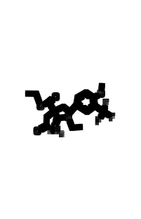 CCOC(=O)C(CCc1ccc(OC)c(C(F)(F)F)c1)(CC(N)=O)C(=O)OCC